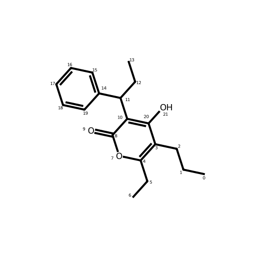 CCCc1c(CC)oc(=O)c(C(CC)c2ccccc2)c1O